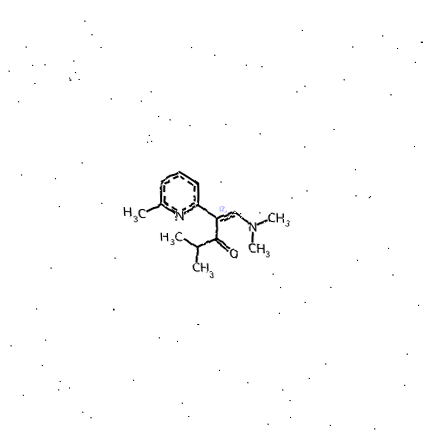 Cc1cccc(/C(=C/N(C)C)C(=O)C(C)C)n1